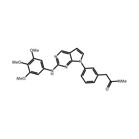 CNC(=O)Cc1cccc(-n2ccc3cnc(Nc4cc(OC)c(OC)c(OC)c4)nc32)c1